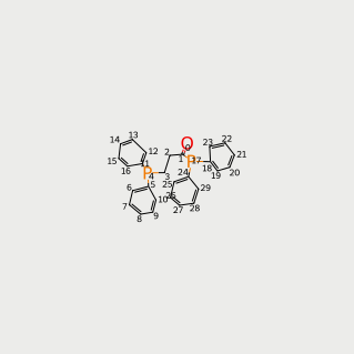 O=C(CCP(c1ccccc1)c1ccccc1)P(c1ccccc1)c1ccccc1